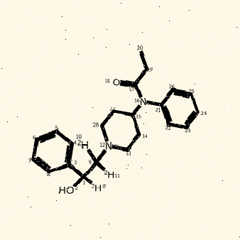 [2H]C(O)(c1ccccc1)C([2H])([2H])N1CCC(N(C(=O)CC)c2ccccc2)CC1